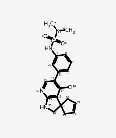 CN(C)S(=O)(=O)Nc1cccc(-c2cnc3c(c2Cl)C2(CC=CC2)CN3)c1